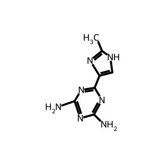 Cc1nc(-c2nc(N)nc(N)n2)c[nH]1